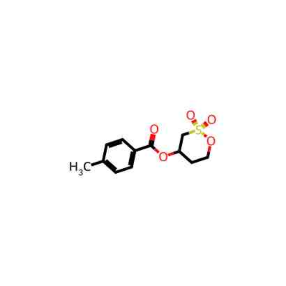 Cc1ccc(C(=O)OC2CCOS(=O)(=O)C2)cc1